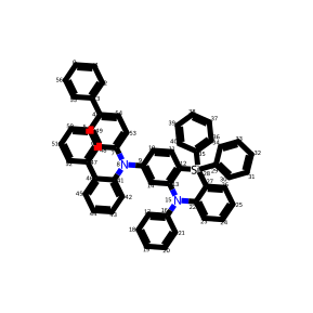 c1ccc(-c2ccc(N(c3ccc4c(c3)N(c3ccccc3)c3ccccc3[Si]4(c3ccccc3)c3ccccc3)c3ccccc3-c3ccccc3)cc2)cc1